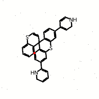 C1=CCNC(c2ccc3c(c2)Sc2cc(C4=CCNC=C4)ccc2C32c3ccccc3Sc3ccccc32)=C1